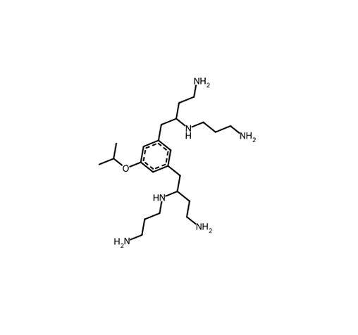 CC(C)Oc1cc(CC(CCN)NCCCN)cc(CC(CCN)NCCCN)c1